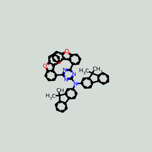 CC1(C)c2ccccc2-c2ccc(N(c3ccc4c(c3)C(C)(C)c3ccccc3-4)c3nc(-c4cccc5oc6ccccc6c45)nc(-c4cccc5oc6ccccc6c45)n3)cc21